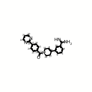 N=C(N)c1cccc(C2=CCN(C(=O)c3ccc(-c4ncccn4)cc3)CC2)c1